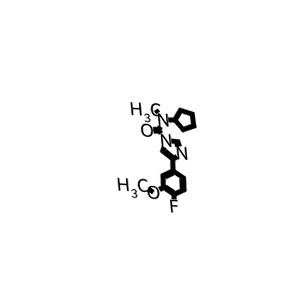 COc1cc(-c2cn(C(=O)N(C)C3CCCC3)cn2)ccc1F